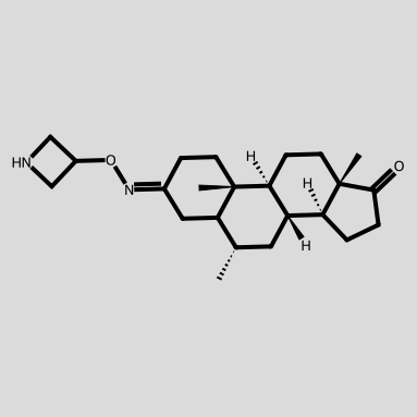 C[C@H]1C[C@@H]2[C@H](CC[C@]3(C)C(=O)CC[C@@H]23)[C@@]2(C)CC/C(=N\OC3CNC3)CC12